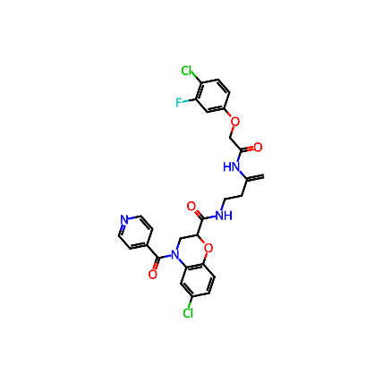 C=C(CCNC(=O)C1CN(C(=O)c2ccncc2)c2cc(Cl)ccc2O1)NC(=O)COc1ccc(Cl)c(F)c1